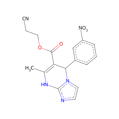 CC1=C(C(=O)OCCC#N)C(c2cccc([N+](=O)[O-])c2)n2ccnc2N1